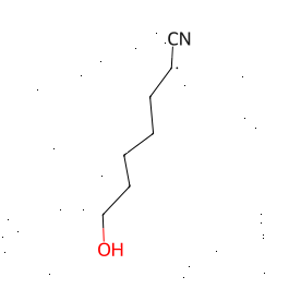 N#C[CH]CCCCCO